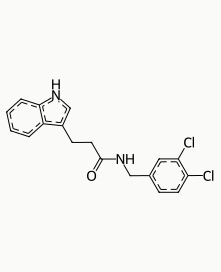 O=C(CCc1c[nH]c2ccccc12)NCc1ccc(Cl)c(Cl)c1